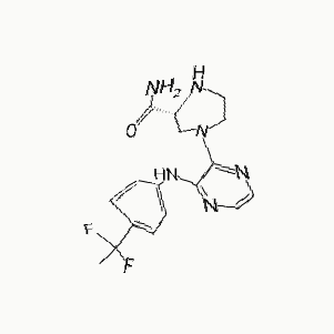 CC(F)(F)c1ccc(Nc2nccnc2N2CCN[C@@H](C(N)=O)C2)cc1